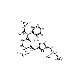 CCCOC(=O)Cn1ccc(/C=C2\CN(C(C(=O)C3CC3)c3ccccc3F)CCC2S)n1.Cl